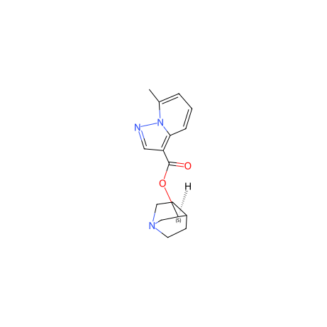 Cc1cccc2c(C(=O)O[C@@H]3CN4CCC3CC4)cnn12